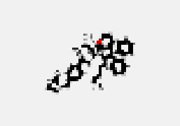 C=CCCC(=O)C(N1C(=O)[C@H]([C@@H](C)O)[C@H]1CC(=O)c1ccc(CN2CCOC2=O)cc1)=P(c1ccccc1)(c1ccccc1)c1ccccc1